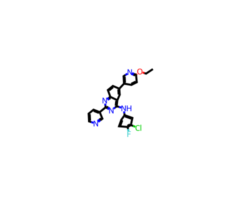 CCOc1ccc(-c2ccc3nc(-c4cccnc4)nc(Nc4ccc(F)c(Cl)c4)c3c2)cn1